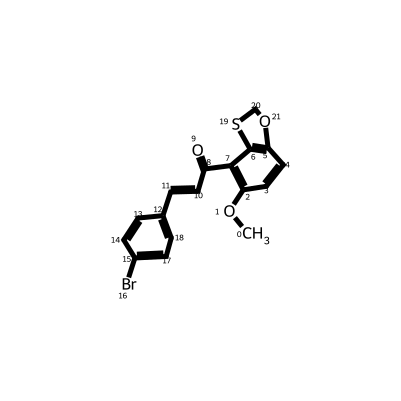 COc1ccc2c(c1C(=O)/C=C/c1ccc(Br)cc1)SCO2